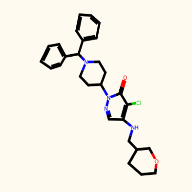 O=c1c(Cl)c(NCC2CCCOC2)cnn1C1CCN(C(c2ccccc2)c2ccccc2)CC1